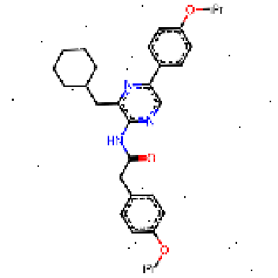 CC(C)Oc1ccc(CC(=O)Nc2ncc(-c3ccc(OC(C)C)cc3)nc2CC2CCCCC2)cc1